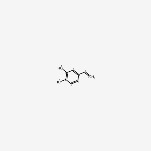 C=Cc1ccc(O)c(O)c1